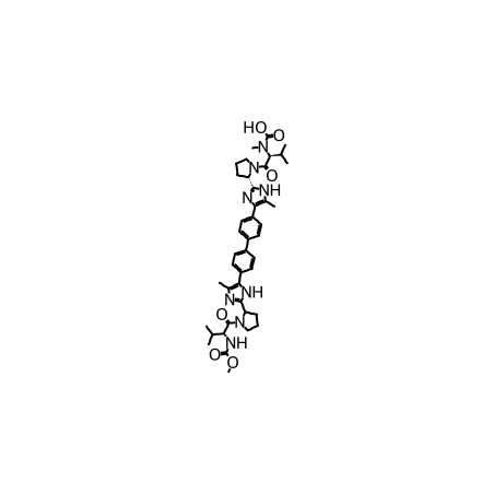 COC(=O)N[C@H](C(=O)N1CCCC1c1nc(C)c(-c2ccc(-c3ccc(-c4nc([C@@H]5CCCN5C(=O)[C@H](C(C)C)N(C)C(=O)O)[nH]c4C)cc3)cc2)[nH]1)C(C)C